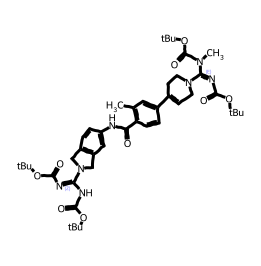 Cc1cc(C2=CCN(/C(=N\C(=O)OC(C)(C)C)N(C)C(=O)OC(C)(C)C)CC2)ccc1C(=O)Nc1ccc2c(c1)CN(/C(=N\C(=O)OC(C)(C)C)NC(=O)OC(C)(C)C)C2